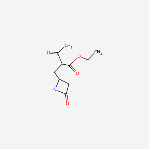 CCOC(=O)C(CC1CC(=O)N1)C(C)=O